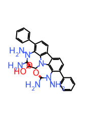 NC(=O)N(N)c1c(-c2ccccc2)ccc2c3ccc(-c4ccccc4)c(N(N)C(N)=O)c3n(CCO)c12